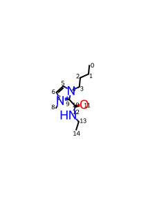 CCCCn1cc[n+](C)c1C(=O)NCC